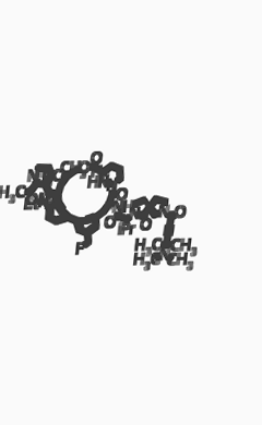 CCn1c(-c2cccnc2[C@H](C)OC)c2c3cc(ccc31)-c1cc(CF)cc(c1)C[C@H](NC(=O)[C@H](C(C)C)N1CC[C@]3(CCN(C(=O)C#CC(C)(C)N(C)C)C3)C1=O)C(=O)N1CCC[C@H](N1)C(=O)OCC(C)(C)C2